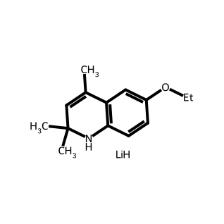 CCOc1ccc2c(c1)C(C)=CC(C)(C)N2.[LiH]